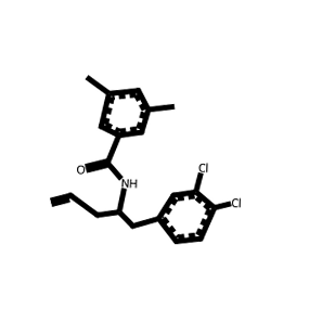 C=CCC(Cc1ccc(Cl)c(Cl)c1)NC(=O)c1cc(C)cc(C)c1